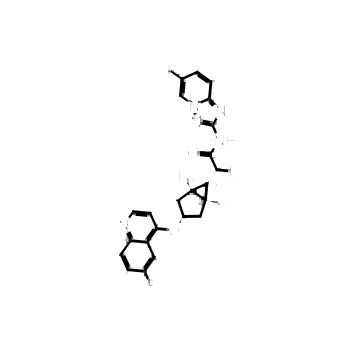 CCC(C(=O)Nc1nc2ccc(Cl)cn2n1)[C@@H]1[C@@H]2C[C@@H](Oc3ccnc4ccc(F)cc34)C[C@@H]21